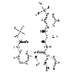 CC(C)(C)OC(=O)Nc1cc(CSc2ncccc2C(=O)NNC(=O)Nc2cccc(C(F)(F)F)c2)ccn1